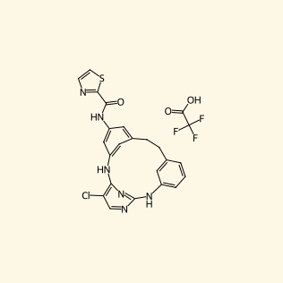 O=C(Nc1cc2cc(c1)Nc1nc(ncc1Cl)Nc1cccc(c1)CC2)c1nccs1.O=C(O)C(F)(F)F